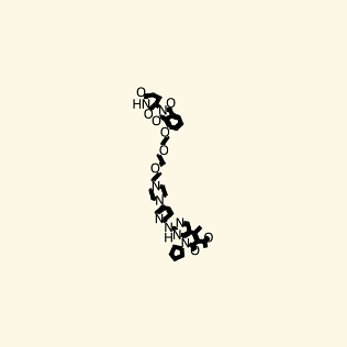 CC(=O)c1c(C)c2cnc(Nc3ccc(N4CCN(CCOCCOCCOc5cccc6c5C(=O)N(C5CCC(=O)NC5=O)C6=O)CC4)cn3)nc2n(C2CCCC2)c1=O